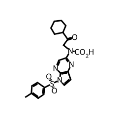 Cc1ccc(S(=O)(=O)n2ccc3nc(N(CC(=O)C4CCCCC4)C(=O)O)cnc32)cc1